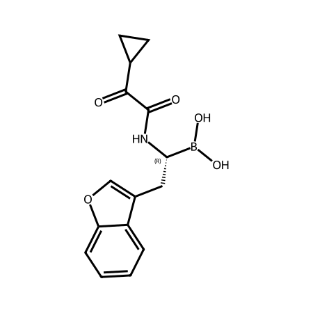 O=C(N[C@@H](Cc1coc2ccccc12)B(O)O)C(=O)C1CC1